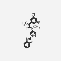 C[C@H](C(=O)N(C)c1cnn(-c2nc3ccccc3s2)c1)c1cc(F)cc(Cl)c1